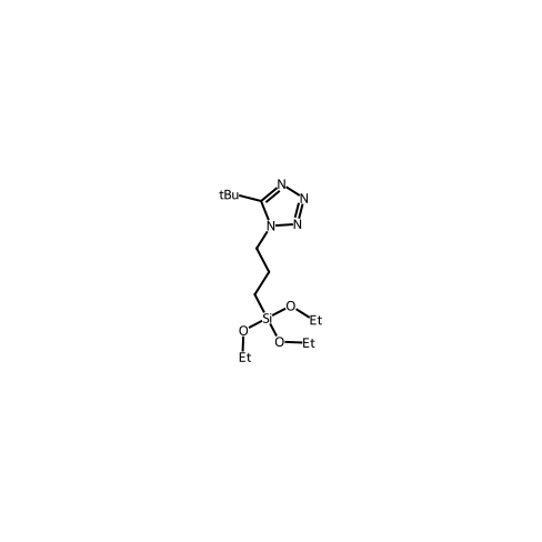 CCO[Si](CCCn1nnnc1C(C)(C)C)(OCC)OCC